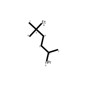 CCCC(C)CCC(C)(C)CC